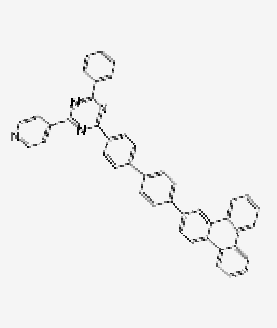 c1ccc(-c2nc(-c3ccncc3)nc(-c3ccc(-c4ccc(-c5ccc6c7ccccc7c7ccccc7c6c5)cc4)cc3)n2)cc1